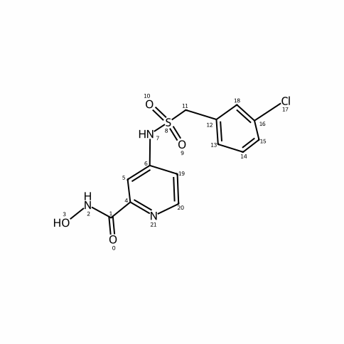 O=C(NO)c1cc(NS(=O)(=O)Cc2cccc(Cl)c2)ccn1